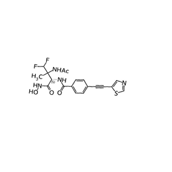 CC(=O)NC(C)(C(F)F)[C@H](NC(=O)c1ccc(C#Cc2cncs2)cc1)C(=O)NO